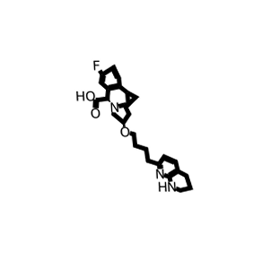 O=C(O)[C@H](c1cc(F)ccc1C1CC1)N1CC[C@@H](OCCCCc2ccc3c(n2)NCCC3)C1